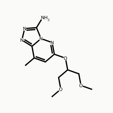 COCC(COC)Oc1cc(C)c2nnc(N)n2n1